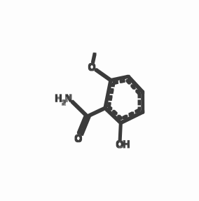 COc1cccc(O)c1C(N)=O